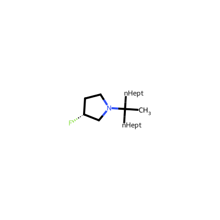 CCCCCCCC(C)(CCCCCCC)N1CC[C@@H](F)C1